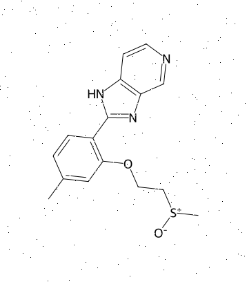 Cc1ccc(-c2nc3cnccc3[nH]2)c(OCC[S+](C)[O-])c1